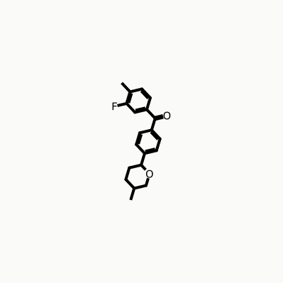 Cc1ccc(C(=O)c2ccc(C3CCC(C)CO3)cc2)cc1F